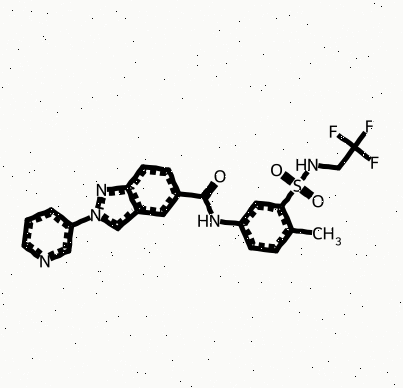 Cc1ccc(NC(=O)c2ccc3nn(-c4cccnc4)cc3c2)cc1S(=O)(=O)NCC(F)(F)F